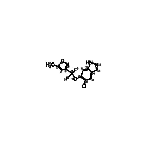 Cc1cc(C(F)(F)Oc2cc3[nH]ncc3cc2Cl)no1